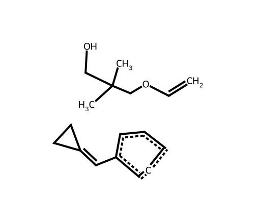 C(=C1CC1)c1ccccc1.C=COCC(C)(C)CO